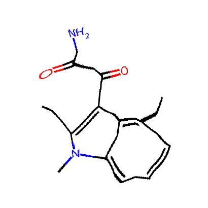 Cc1cccc2c1c(C(=O)C(N)=O)c(C)n2C